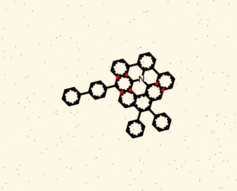 c1ccc(-c2ccc(-c3ccc(N(c4c(-c5ccccc5)cccc4-c4ccccc4)c4cccc5c(-c6ccccc6)c(-c6ccccc6)c6ccccc6c45)cc3)cc2)cc1